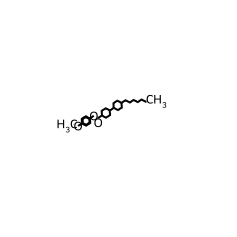 CCCCCCCC1CCC(C2CCC(C(=O)Oc3ccc(OC)cc3)CC2)CC1